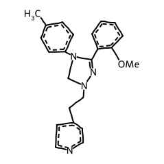 COc1ccccc1C1=NN(CCc2ccncc2)CN1c1ccc(C)cc1